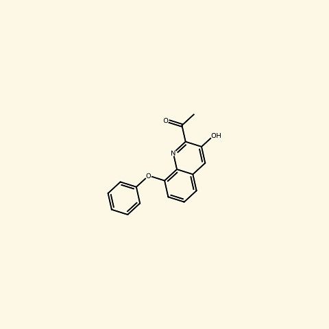 CC(=O)c1nc2c(Oc3ccccc3)cccc2cc1O